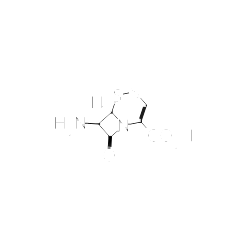 NC1C(=O)N2C(C(=O)O)=CSS[C@H]12